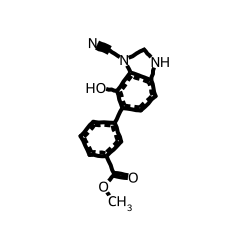 COC(=O)c1cccc(-c2ccc3c(c2O)N(C#N)CN3)c1